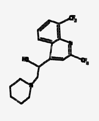 OC(CN1CCCCC1)c1cc(C(F)(F)F)nc2c(C(F)(F)F)cccc12